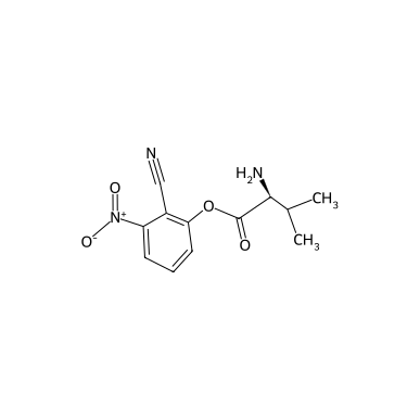 CC(C)[C@H](N)C(=O)Oc1cccc([N+](=O)[O-])c1C#N